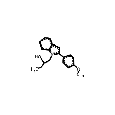 CCC(O)Cn1c(-c2ccc(OC)cc2)cc2ccccc21